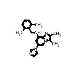 Cc1cccc(C)c1CNc1cc(-n2ccnc2)cn2c(C)c(C)nc12